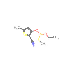 CCOP(Oc1cc(C)sc1C#N)SC